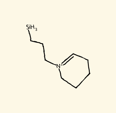 [SiH3]CCC[N+]1=CCCCC1